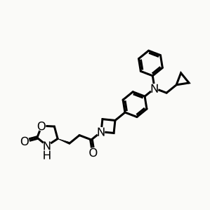 O=C1N[C@H](CCC(=O)N2CC(c3ccc(N(CC4CC4)c4ccccc4)cc3)C2)CO1